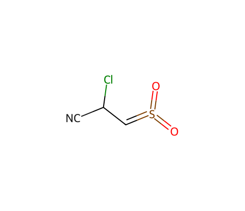 N#CC(Cl)C=S(=O)=O